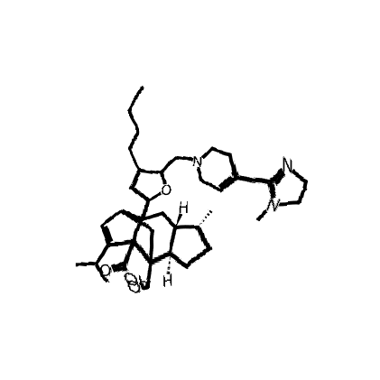 CCCCC1CC(C23C[C@@H]4[C@H](C)CC[C@H]4C4(C=O)CC2C=C(C(C)C)C34C(=O)O)OC1CN1CC=C(C2=NCCN2C)CC1